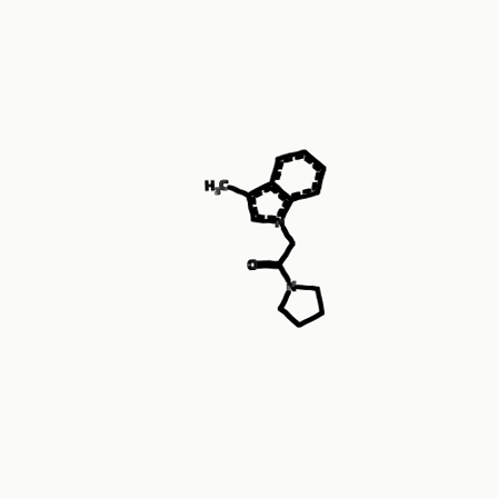 Cc1cn(CC(=O)N2CCCC2)c2ccccc12